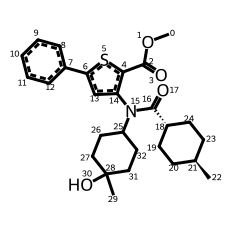 COC(=O)c1sc(-c2ccccc2)cc1N(C(=O)[C@H]1CC[C@H](C)CC1)C1CCC(C)(O)CC1